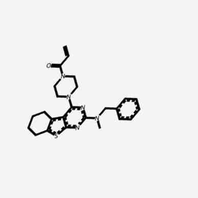 C=CC(=O)N1CCN(c2nc(N(C)Cc3ccccc3)nc3sc4c(c23)CCCC4)CC1